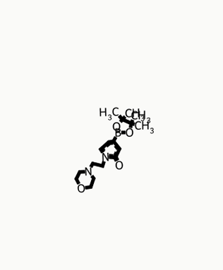 CC1(C)OB(c2ccn(CCN3CCOCC3)c(=O)c2)OC1(C)C